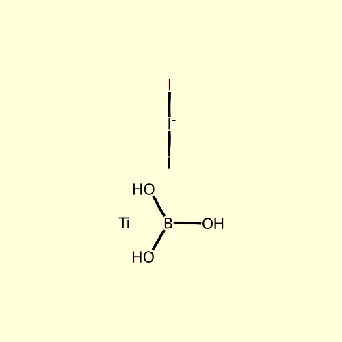 I[I-]I.OB(O)O.[Ti]